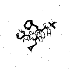 CC(C)(C)NC(=O)C(=O)C(Cc1ccccc1)NC(=O)C(CC1CC1)NC(=O)c1cccnc1